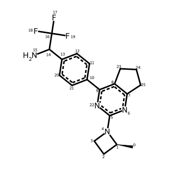 C[C@H]1CCN1c1nc2c(c(-c3ccc(C(N)C(F)(F)F)cc3)n1)CCC2